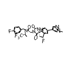 C[C@H](N(Cc1ccc(F)cc1)C(=O)CN1C(=O)N[C@]2(C[C@@H](F)c3cc(-c4cnn(C)c4)ccc32)C1=O)C(F)(F)F